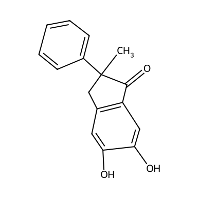 CC1(c2ccccc2)Cc2cc(O)c(O)cc2C1=O